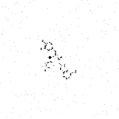 COc1cccc(CNC[C@H](O)[C@H](Cc2ccc(F)c(F)c2)NC(=O)OC(C)(C)C)c1